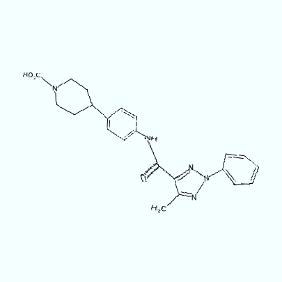 Cc1nn(-c2ccccc2)nc1C(=O)Nc1ccc(C2CCN(C(=O)O)CC2)cc1